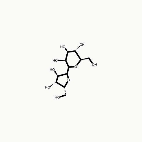 OC[C@H]1O[C](C2O[C@H](CO)[C@H](O)[C@H]2O)[C@@H](O)[C@@H](O)[C@@H]1O